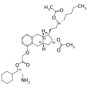 CCCCC[C@H](CC[C@@H]1[C@H]2Cc3cccc(OCC(=O)O[C@H](CN)C4CCCCC4)c3C[C@H]2C[C@H]1OC(C)=O)OC(C)=O